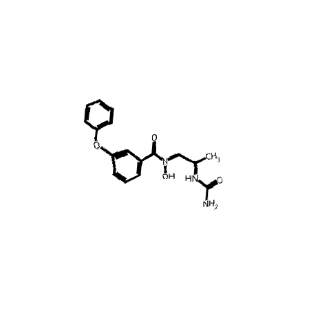 CC(CN(O)C(=O)c1cccc(Oc2ccccc2)c1)NC(N)=O